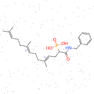 CC(C)=CCC/C(C)=C/CC/C(C)=C/CC(C(=O)NCc1ccccc1)P(=O)(O)O